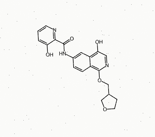 O=C(Nc1ccc2c(OCC3CCOC3)ncc(O)c2c1)c1ncccc1O